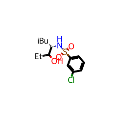 CCC(O)[C@@H](NS(=O)(=O)c1cccc(Cl)c1)[C@@H](C)CC